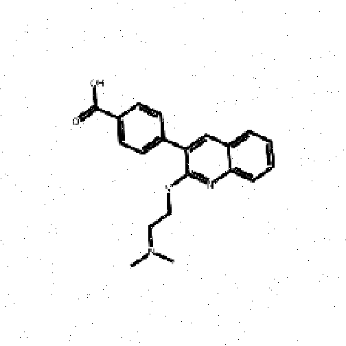 CN(C)CCSc1nc2ccccc2cc1-c1ccc(C(=O)O)cc1